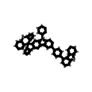 c1ccc(-n2c3ccc(-c4ccc(-c5cccc6oc7ccccc7c56)cc4)cc3c3cc4c(cc32)C2(c3ccccc3Oc3ccccc32)c2ccccc2-4)cc1